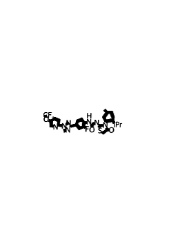 Cc1ccc(C(C)C)c(N2C(=O)CS/C2=N\C(=O)Nc2ccc(-c3ncn(-c4ccc(OC(F)(F)F)cn4)n3)cc2F)c1